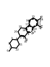 CC1CCC(C2=C(F)c3sc4c(F)c(F)ccc4c3CC2)CC1